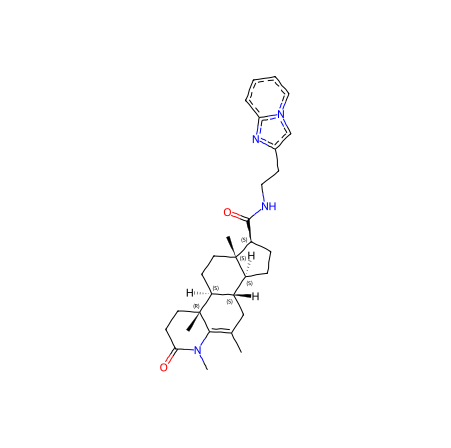 CC1=C2N(C)C(=O)CC[C@]2(C)[C@H]2CC[C@]3(C)[C@@H](C(=O)NCCc4cn5ccccc5n4)CC[C@H]3[C@@H]2C1